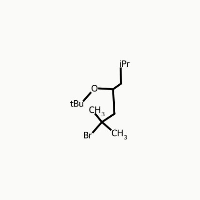 CC(C)CC(CC(C)(C)Br)OC(C)(C)C